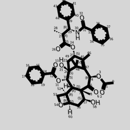 CC(=O)O[C@H]1C(=O)[C@@]2(C)[C@H]([C@H](OC(=O)c3ccccc3)[C@]3(O)C[C@H](OC(=O)[C@H](C)[C@@H](NC(=O)c4ccccc4)c4ccccc4)C(C)=C1C3(C)C)[C@]1(C)CO[C@@H]1C[C@@H]2O